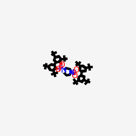 CC(C)(C)c1cc(C(C)(C)C)c2op(N3CCCN(p4oc5c(C(C)(C)C)cc(C(C)(C)C)cc5c5cc(C(C)(C)C)cc(C(C)(C)C)c5o4)CC3)oc3c(C(C)(C)C)cc(C(C)(C)C)cc3c2c1